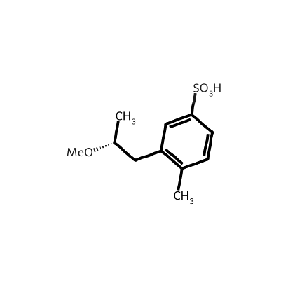 CO[C@H](C)Cc1cc(S(=O)(=O)O)ccc1C